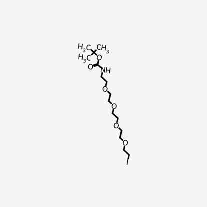 CC(C)(C)OC(=O)NCCOCCOCCOCCOCCI